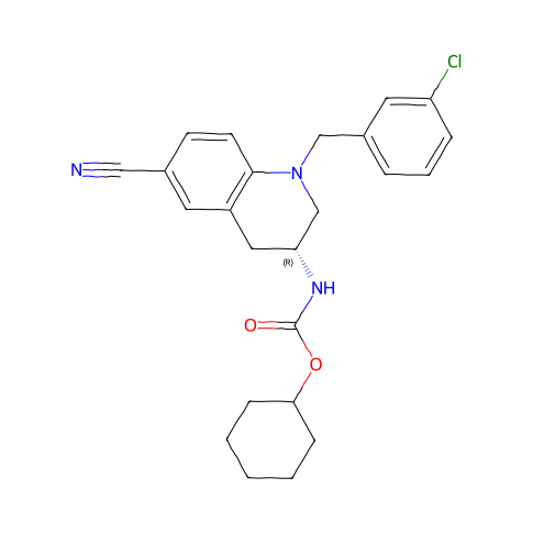 N#Cc1ccc2c(c1)C[C@@H](NC(=O)OC1CCCCC1)CN2Cc1cccc(Cl)c1